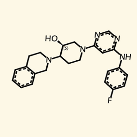 O[C@H]1CN(c2cc(Nc3ccc(F)cc3)ncn2)CCC1N1CCc2ccccc2C1